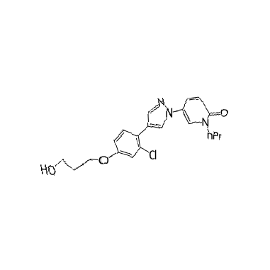 CCCn1cc(-n2cc(-c3ccc(OCCCO)cc3Cl)cn2)ccc1=O